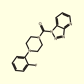 O=C(N1CCN(c2ccccc2F)CC1)n1nnc2ncccc21